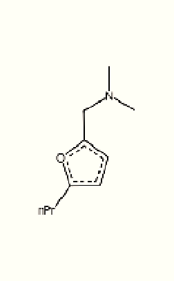 CCCc1ccc(CN(C)C)o1